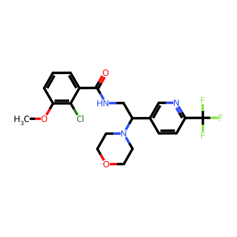 COc1cccc(C(=O)NCC(c2ccc(C(F)(F)F)nc2)N2CCOCC2)c1Cl